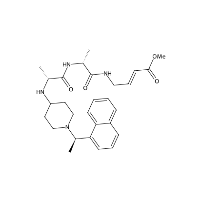 COC(=O)/C=C/CNC(=O)[C@@H](C)NC(=O)[C@@H](C)NC1CCN([C@H](C)c2cccc3ccccc23)CC1